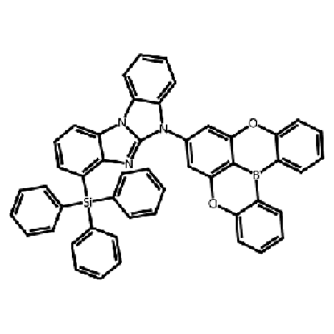 c1ccc([Si](c2ccccc2)(c2ccccc2)c2cccc3c2nc2n(-c4cc5c6c(c4)Oc4ccccc4B6c4ccccc4O5)c4ccccc4n32)cc1